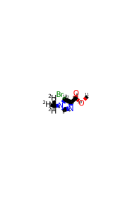 [2H]C([2H])([2H])n1cnc(C(=O)OC)c1Br